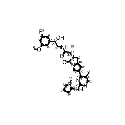 COc1cc(F)cc([C@H](O)CNC(=O)[C@H](C)N2Cc3cc(-c4nc(Nc5ccnn5C)ncc4C)cn3C2=O)c1